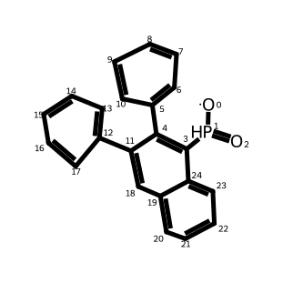 [O][PH](=O)c1c(-c2ccccc2)c(-c2ccccc2)cc2ccccc12